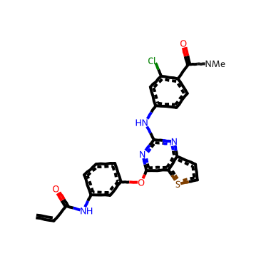 C=CC(=O)Nc1cccc(Oc2nc(Nc3ccc(C(=O)NC)c(Cl)c3)nc3ccsc23)c1